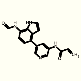 C=CC(=O)Nc1cncc(-c2ccc(NC=O)c3[nH]ccc23)c1